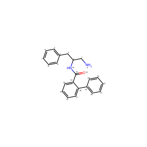 NCC(Cc1ccccc1)NC(=O)c1ccccc1-c1ccccc1